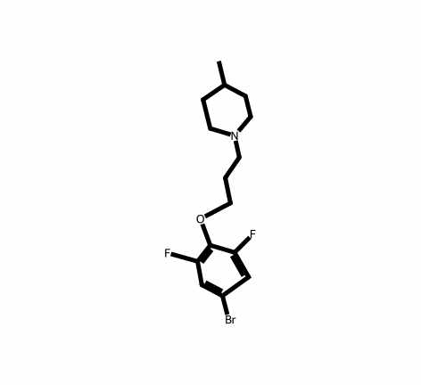 CC1CCN(CCCOc2c(F)cc(Br)cc2F)CC1